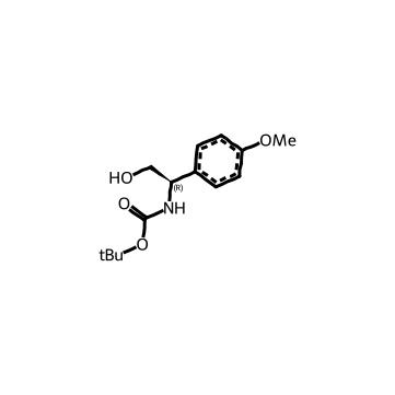 COc1ccc([C@H](CO)NC(=O)OC(C)(C)C)cc1